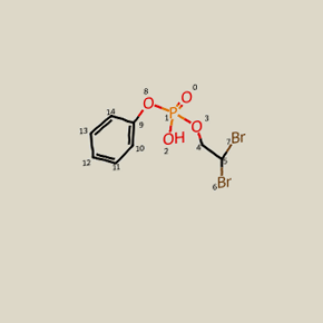 O=P(O)(OCC(Br)Br)Oc1ccccc1